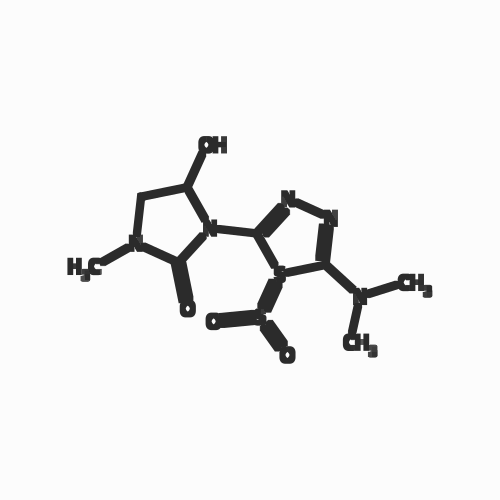 CN(C)C1=NN=C(N2C(=O)N(C)CC2O)S1=S(=O)=O